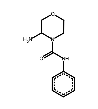 NC1COCCN1C(=O)Nc1ccccc1